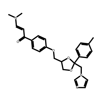 Cc1ccc(C2(Cn3ccnc3)OCC(COc3ccc(C(=O)C=CN(C)C)cc3)O2)cc1